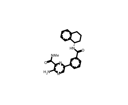 CNC(=O)c1nc(-c2cccc(C(=O)N[C@H]3CCCc4ccccc43)c2)cnc1N